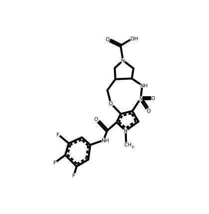 Cn1cc2c(c1C(=O)Nc1cc(F)c(F)c(F)c1)OCC1CN(C(=O)O)CC1NS2(=O)=O